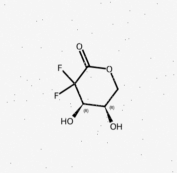 O=C1OC[C@@H](O)[C@@H](O)C1(F)F